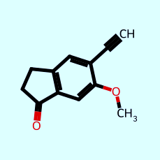 C#Cc1cc2c(cc1OC)C(=O)CC2